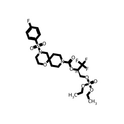 CCOP(=O)(OCC)OC[C@@H](OC(=O)N1CCC2(CC1)CN(S(=O)(=O)c1ccc(F)cc1)CCO2)C(F)(F)F